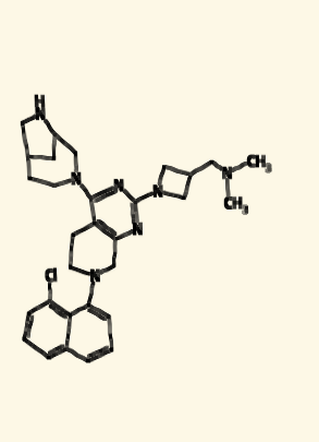 CN(C)CC1CN(c2nc3c(c(N4CCC5CNC(C5)C4)n2)CCN(c2cccc4cccc(Cl)c24)C3)C1